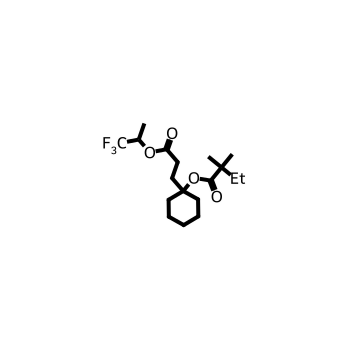 CCC(C)(C)C(=O)OC1(CCC(=O)OC(C)C(F)(F)F)CCCCC1